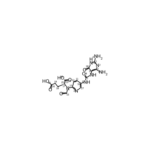 Nc1nc(N)c(NC(=O)Nc2ccc(N(C=O)[C@@H](CCC(=O)O)C(=O)O)nc2)c(=O)[nH]1